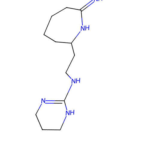 N=C1CCCCC(CCNC2=NCCCN2)N1